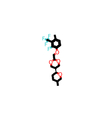 Cc1ccc(OCC2OCC([C@@H]3CCC(C)CO3)CO2)c(F)c1C(F)(F)F